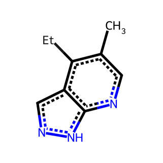 CCc1c(C)cnc2[nH]ncc12